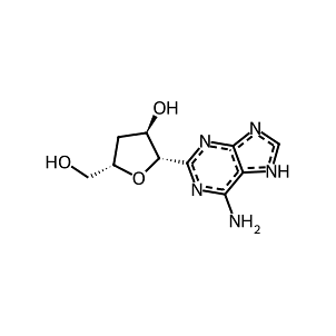 Nc1nc([C@@H]2O[C@H](CO)C[C@H]2O)nc2nc[nH]c12